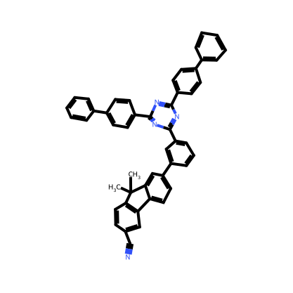 CC1(C)c2ccc(C#N)cc2-c2ccc(-c3cccc(-c4nc(-c5ccc(-c6ccccc6)cc5)nc(-c5ccc(-c6ccccc6)cc5)n4)c3)cc21